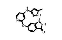 Cc1cc(Nc2ccnc(Oc3ccc4c(=O)[nH][nH]c4c3)c2)n[nH]1